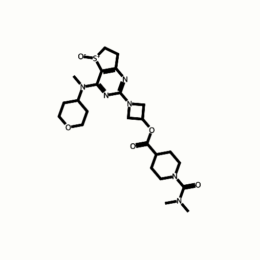 CN(C)C(=O)N1CCC(C(=O)OC2CN(c3nc4c(c(N(C)C5CCOCC5)n3)[S+]([O-])CC4)C2)CC1